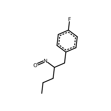 CCCC(Cc1ccc(F)cc1)N=O